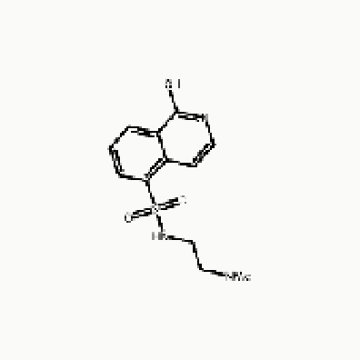 CNCCNS(=O)(=O)c1cccc2c(O)nccc12